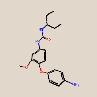 CCC(CC)NC(=O)Nc1ccc(Oc2ccc(N)cc2)c(OC)c1